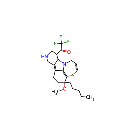 CCCCCC1(OC)CCC2=C3CNCC(C(=O)C(F)(F)F)C3N3CC=CSC1=C23